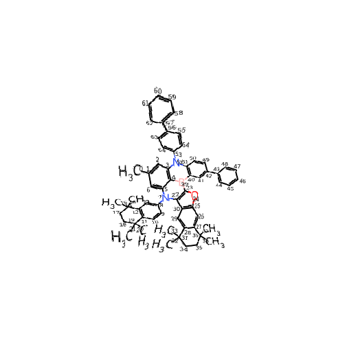 Cc1cc2c3c(c1)N(c1ccc4c(c1)C(C)(C)CCC4(C)C)c1c(oc4cc5c(cc14)C(C)(C)CCC5(C)C)B3c1cc(-c3ccccc3)ccc1N2c1ccc(-c2ccccc2)cc1